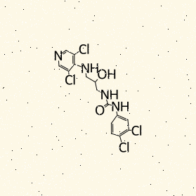 O=C(NCC(O)CNc1c(Cl)cncc1Cl)Nc1ccc(Cl)c(Cl)c1